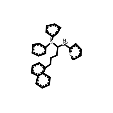 c1ccc([SiH2]C(CCCc2cccc3ccccc23)[SiH](c2ccccc2)c2ccccc2)cc1